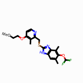 COCCOc1ccnc(CSc2nc3c(C)c(OC(F)F)c(C)cc3[nH]2)c1C